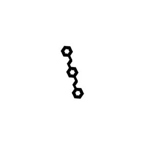 C(=Cc1ccc(/C=C/c2ccccc2)cc1)c1ccccc1